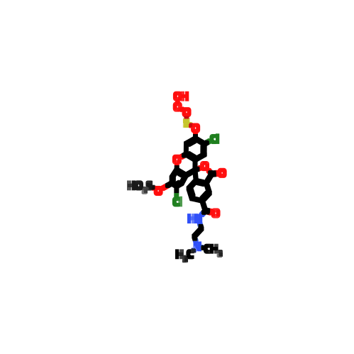 CN(C)CCNC(=O)c1ccc2c(c1)C(=O)OC21c2cc(Cl)c(OSOOO)cc2Oc2cc(OS(=O)(=O)O)c(Cl)cc21